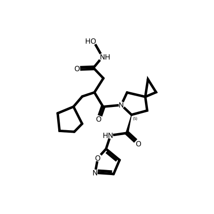 O=C(CC(CC1CCCC1)C(=O)N1CC2(CC2)C[C@H]1C(=O)Nc1ccno1)NO